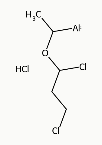 C[CH]([Al])OC(Cl)CCCl.Cl